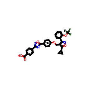 O=C(O)c1ccc(-c2noc(C34CCC(OCc5c(-c6ccccc6OC(F)(F)F)noc5C5CC5)(CC3)CC4)n2)cc1